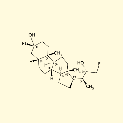 CC[C@@]1(O)CC[C@@]2(C)[C@H](CC[C@@H]3[C@@H]2CC[C@]2(C)[C@@H]([C@H](C)[C@H](O)CF)CC[C@@H]32)C1